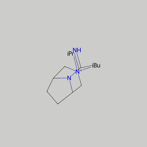 CCC(C)C(=N)N1C2CCC1C[N+](C)(C(C)C)C2